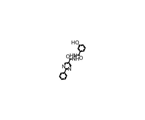 O=C(NNC(=O)c1cccc(O)c1)c1cnc(-c2ccccc2)nc1